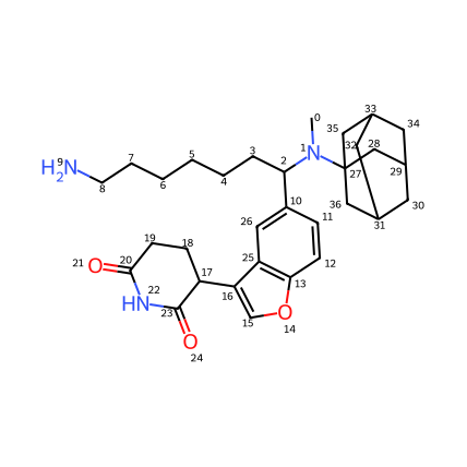 CN(C(CCCCCCN)c1ccc2occ(C3CCC(=O)NC3=O)c2c1)C12CC3CC(CC(C3)C1)C2